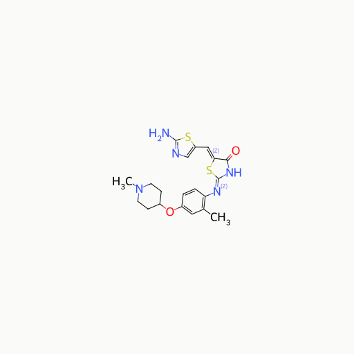 Cc1cc(OC2CCN(C)CC2)ccc1/N=C1/NC(=O)/C(=C/c2cnc(N)s2)S1